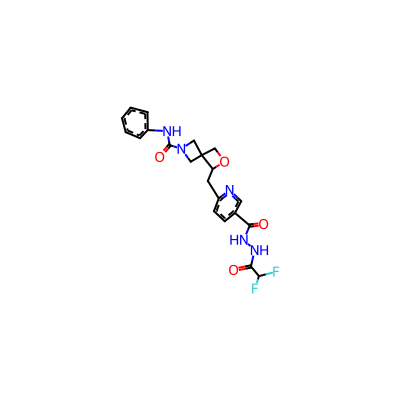 O=C(NNC(=O)C(F)F)c1ccc(CC2OCC23CN(C(=O)Nc2ccccc2)C3)nc1